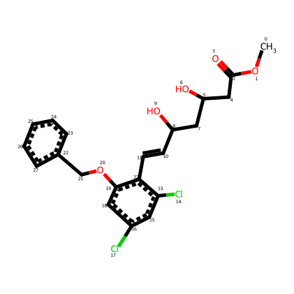 COC(=O)CC(O)CC(O)C=Cc1c(Cl)cc(Cl)cc1OCc1ccccc1